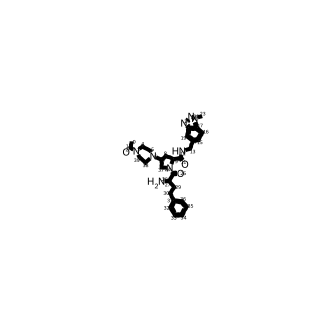 CC(=O)N1CCN(C2CC(C(=O)NCc3ccc4c(c3)nnn4C)N(C(=O)C(N)CCc3ccccc3)C2)CC1